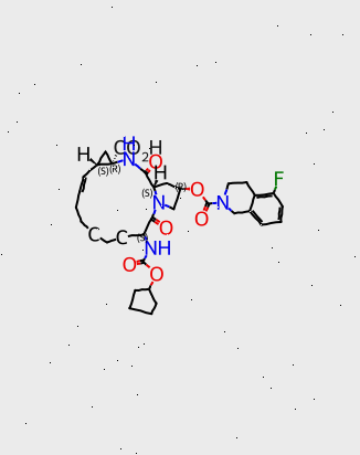 O=C(N[C@H]1CCCCCC=C[C@@H]2C[C@@]2(C(=O)O)NC(=O)[C@@H]2C[C@@H](OC(=O)N3CCc4c(F)cccc4C3)CN2C1=O)OC1CCCC1